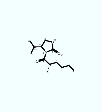 CCCC[C@H](C)C(=O)N1C(=O)OC[C@@H]1C(C)C